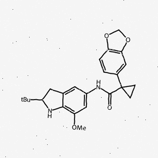 COc1cc(NC(=O)C2(c3ccc4c(c3)OCO4)CC2)cc2c1NC(C(C)(C)C)C2